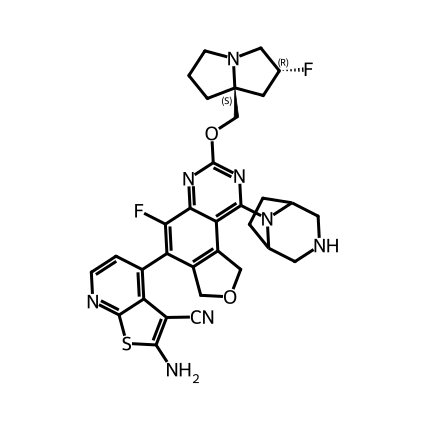 N#Cc1c(N)sc2nccc(-c3c4c(c5c(N6C7CCC6CNC7)nc(OC[C@@]67CCCN6C[C@H](F)C7)nc5c3F)COC4)c12